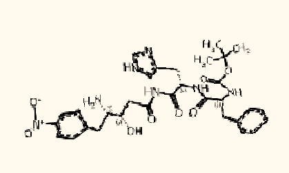 CC(C)(C)OC(=O)N[C@@H](Cc1ccccc1)C(=O)N[C@@H](Cc1c[nH]cn1)C(=O)NC(=O)C[C@H](O)[C@@H](N)Cc1ccc([N+](=O)[O-])cc1